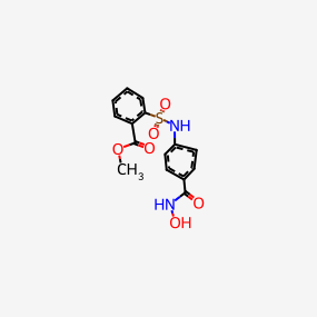 COC(=O)c1ccccc1S(=O)(=O)Nc1ccc(C(=O)NO)cc1